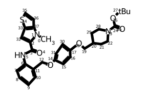 Cn1c(C(=O)Nc2ccccc2COc2ccc(OCC3CCN(C(=O)OC(C)(C)C)CC3)cc2)cc2sccc21